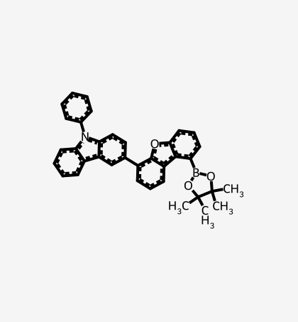 CC1(C)OB(c2cccc3oc4c(-c5ccc6c(c5)c5ccccc5n6-c5ccccc5)cccc4c23)OC1(C)C